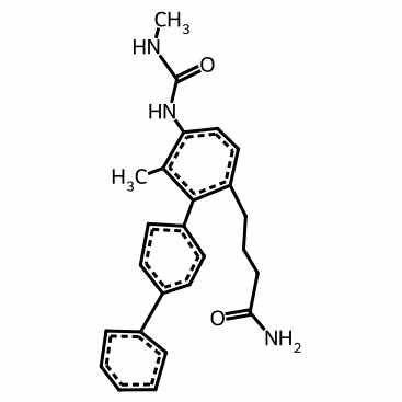 CNC(=O)Nc1ccc(CCCC(N)=O)c(-c2ccc(-c3ccccc3)cc2)c1C